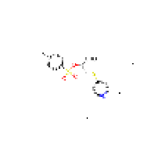 Cc1ccc(S(=O)(=O)OC(C=O)CSc2ccncc2)cc1